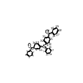 O=C(c1ccccc1)c1ccc([S+](c2ccccc2)c2ccc(C(=O)c3ccccc3)cc2)cc1